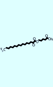 CCCCCCCCCCCCCCC(=O)C(=O)OCCCCC(=O)O